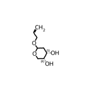 C=CCOC1C[C@H](O)[C@H](O)CO1